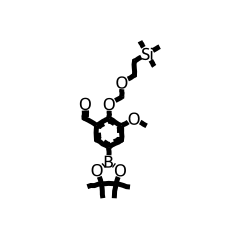 COc1cc(B2OC(C)(C)C(C)(C)O2)cc(C=O)c1OCOCC[Si](C)(C)C